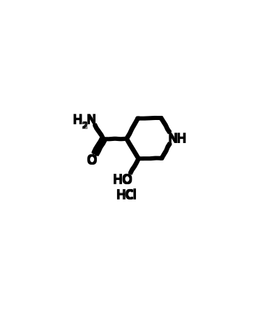 Cl.NC(=O)C1CCNCC1O